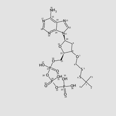 CC(C)(C)SSCOC1C[C@H](n2cnc3c(N)ncnc32)O[C@@H]1COP(=O)(O)OP(=O)(O)OP(=O)(O)O